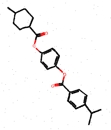 CC1CCC(C(=O)Oc2ccc(OC(=O)c3ccc(C(C)C)cc3)cc2)CC1